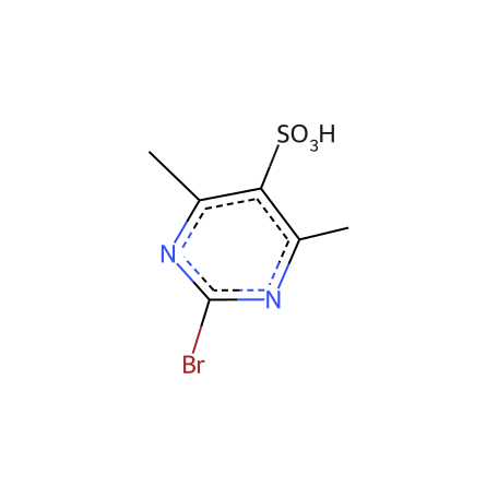 Cc1nc(Br)nc(C)c1S(=O)(=O)O